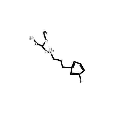 CC(C)OC(O[SiH2]CCCc1cccc(F)c1)OC(C)C